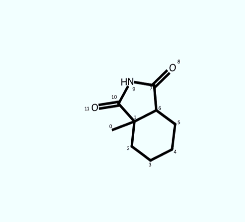 CC12CCCCC1C(=O)NC2=O